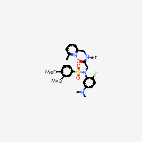 CCN(Cc1cccc(C)n1)C(=O)CN(c1cc(N(C)C)ccc1F)S(=O)(=O)c1ccc(OC)c(OC)c1